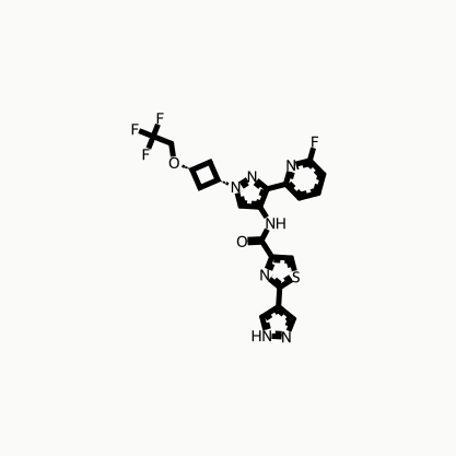 O=C(Nc1cn([C@H]2C[C@@H](OCC(F)(F)F)C2)nc1-c1cccc(F)n1)c1csc(-c2cn[nH]c2)n1